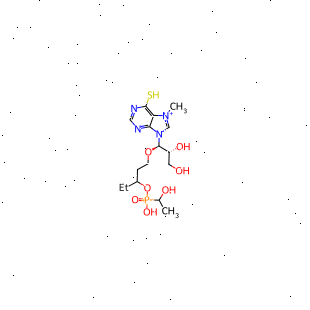 CCC(CCO[C@H]([C@H](O)CO)n1c[n+](C)c2c(S)ncnc21)OP(=O)(O)C(C)O